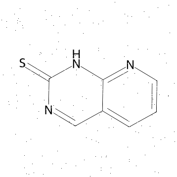 S=c1ncc2cccnc2[nH]1